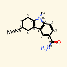 CNC1CCc2c(c3cc(C(N)=O)ccc3n2C)C1